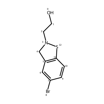 OCCN1Cc2cc(Br)ccc2S1